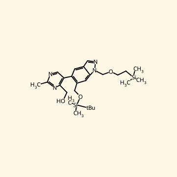 Cc1ncc(-c2cc3cnn(COCC[Si](C)(C)C)c3cc2CO[Si](C)(C)C(C)(C)C)c(CO)n1